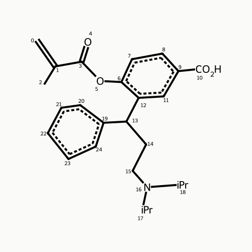 C=C(C)C(=O)Oc1ccc(C(=O)O)cc1C(CCN(C(C)C)C(C)C)c1ccccc1